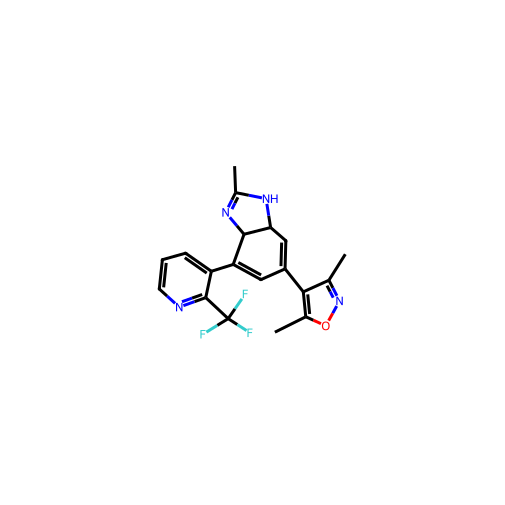 CC1=NC2C(c3cccnc3C(F)(F)F)=CC(c3c(C)noc3C)=CC2N1